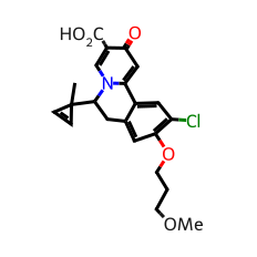 COCCCOc1cc2c(cc1Cl)-c1cc(=O)c(C(=O)O)cn1C(C1(C)C=C1)C2